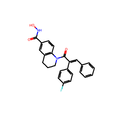 O=C(NO)c1ccc2c(c1)CCCN2C(=O)C(=Cc1ccccc1)c1ccc(F)cc1